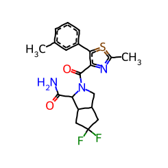 Cc1cccc(-c2sc(C)nc2C(=O)N2CC3CC(F)(F)CC3C2C(N)=O)c1